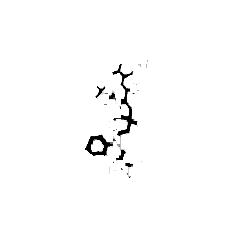 CNC(=O)[C@@H]1CN(C(=O)CC(C)(C)CC(NC(=O)OC(C)(C)C)C(O)CC(C(=O)O)C(C)C)c2ccccc2S1